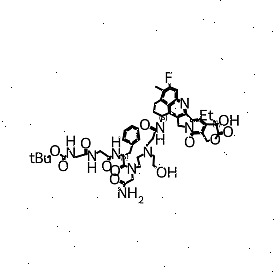 CC[C@@]1(O)C(=O)OCc2c1cc1n(c2=O)Cc2c-1nc1cc(F)c(C)c3c1c2[C@@H](NC(=O)CCN(CCO)CCN(CC(N)=O)C(=O)[C@H](Cc1ccccc1)NC(=O)CNC(=O)CNC(=O)OC(C)(C)C)CC3